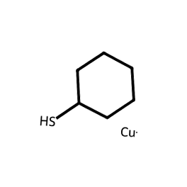 SC1CCCCC1.[Cu]